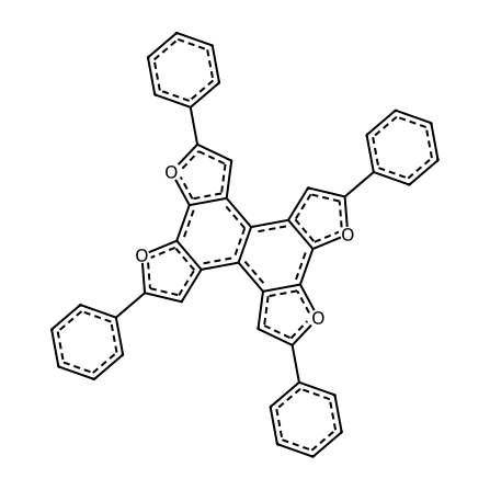 c1ccc(-c2cc3c(o2)c2oc(-c4ccccc4)cc2c2c4cc(-c5ccccc5)oc4c4oc(-c5ccccc5)cc4c32)cc1